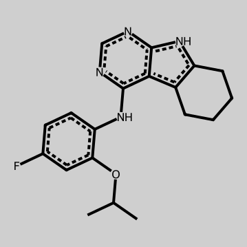 CC(C)Oc1cc(F)ccc1Nc1ncnc2[nH]c3c(c12)CCCC3